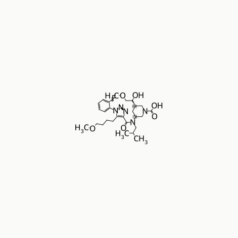 COCCCCc1c(C(=O)N(CC(C)C)[C@H]2C[C@@H](C(O)COC)CN(C(=O)O)C2)nnn1-c1ccccc1F